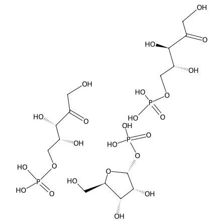 O=C(CO)[C@@H](O)[C@H](O)COP(=O)(O)O.O=C(CO)[C@H](O)[C@H](O)COP(=O)(O)O.O=P(O)(O)O[C@H]1O[C@H](CO)[C@@H](O)[C@H]1O